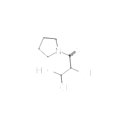 CC(C)C(C)C(=O)N1CCCC1